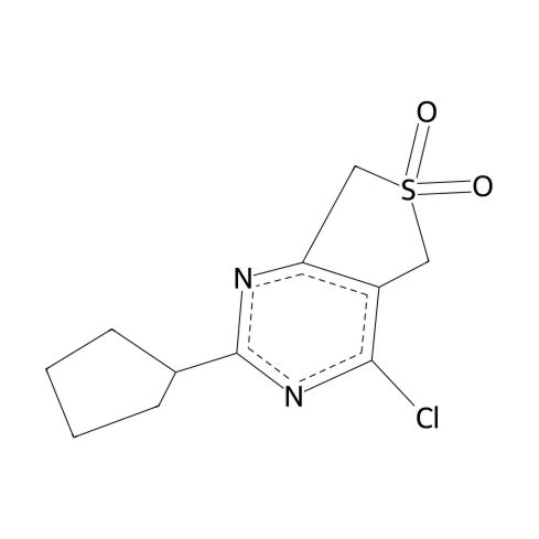 O=S1(=O)Cc2nc(C3CCCC3)nc(Cl)c2C1